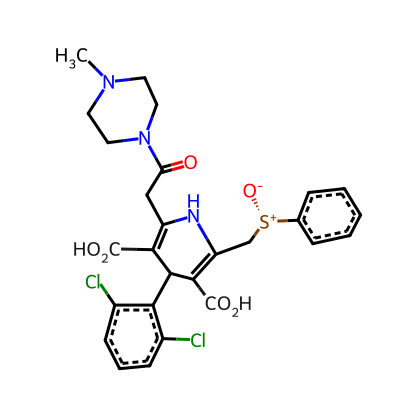 CN1CCN(C(=O)CC2=C(C(=O)O)C(c3c(Cl)cccc3Cl)C(C(=O)O)=C(C[S@+]([O-])c3ccccc3)N2)CC1